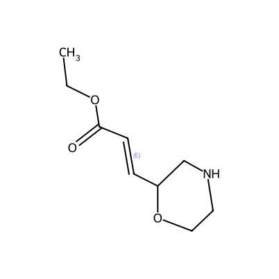 CCOC(=O)/C=C/C1CNCCO1